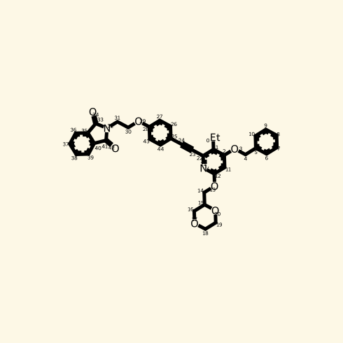 CCc1c(OCc2ccccc2)cc(OCC2COCCO2)nc1C#Cc1ccc(OCCN2C(=O)c3ccccc3C2=O)cc1